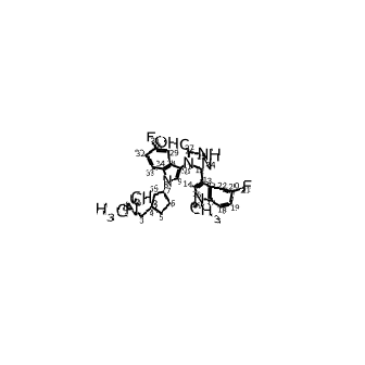 CN(C)CC1CCC(n2cc(N3C(c4cn(C)c5ccc(F)cc45)=NNC3C=O)c3cc(F)ccc32)C1